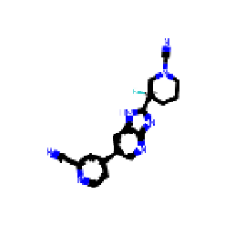 N#Cc1cc(-c2cnc3nc([C@@]4(F)CCCN(C#N)C4)[nH]c3c2)ccn1